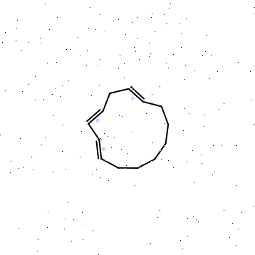 [C]1=C/CCCCCC/C=C/C/C=C/1